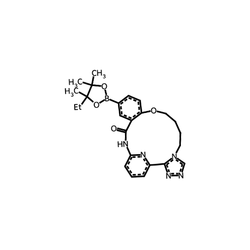 CCC1(C)OB(c2ccc3c(c2)C(=O)Nc2cccc(n2)-c2nncn2CCCCO3)OC1(C)C